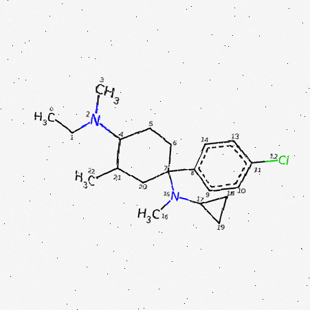 CCN(C)C1CCC(c2ccc(Cl)cc2)(N(C)C2CC2)CC1C